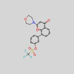 O=c1cc(N2CCOCC2)oc2c(-c3cccc(OS(=O)(=O)C(F)(F)F)c3)cccc12